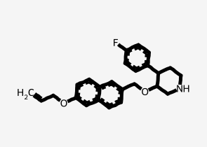 C=CCOc1ccc2cc(COC3CNCCC3c3ccc(F)cc3)ccc2c1